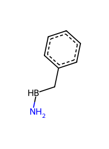 NBCc1ccccc1